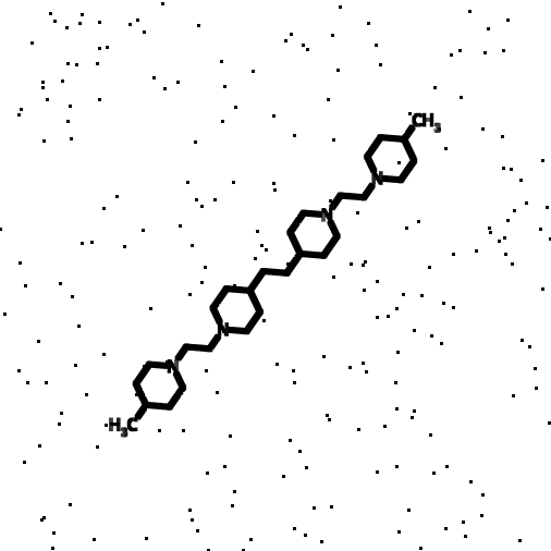 CC1CCN(CCN2CCC(CCC3CCN(CCN4CCC(C)CC4)CC3)CC2)CC1